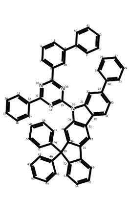 c1ccc(-c2cccc(-c3nc(-c4ccccc4)nc(-n4c5cc(-c6ccccc6)ccc5c5cc6c(cc54)C(c4ccccc4)(c4ccccc4)c4ccccc4-6)n3)c2)cc1